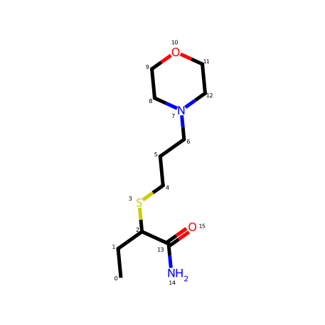 CCC(SCCCN1CCOCC1)C(N)=O